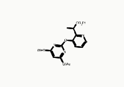 CCOC(=O)C(C)c1ncccc1Oc1nc(OC)cc(OC)n1